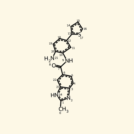 Cc1nc2ccc(C(=O)Nc3cc(-c4cccs4)ccc3N)cc2[nH]1